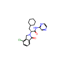 O=C(Nc1cnccn1)[C@H](CC1CCCCC1)N1Cc2c(Cl)cccc2C1=O